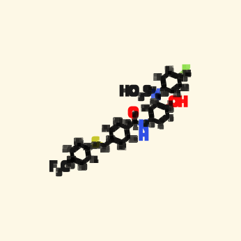 O=C(Nc1ccc(O)c(N(c2ccc(F)cc2)S(=O)(=O)O)c1)c1ccc(CSc2ccc(C(F)(F)F)cc2)cc1